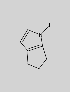 In1ccc2c1CCC2